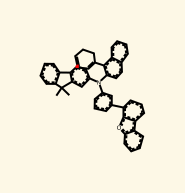 CC1(C)c2ccccc2-c2ccc(N(c3cccc(-c4cccc5c4oc4ccccc45)c3)c3ccc4ccccc4c3C3=CC=CCC3)cc21